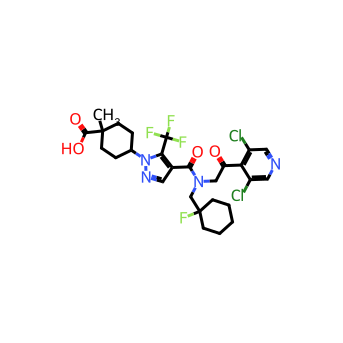 CC1(C(=O)O)CCC(n2ncc(C(=O)N(CC(=O)c3c(Cl)cncc3Cl)CC3(F)CCCCC3)c2C(F)(F)F)CC1